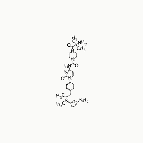 CC(Cc1ccc(-n2ccc(NC(=O)N3CCN(C(=O)C(C)(C)N)CC3)nc2=O)cc1)N(C)C12CC(N)C(C1)C2